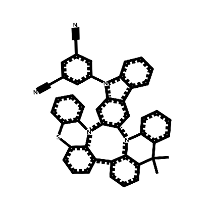 CC1(C)c2ccccc2-n2c3cc4c5ccccc5n(-c5cc(C#N)cc(C#N)c5)c4cc3n3c4c(cccc4c4cccc1c42)Sc1ccccc1-3